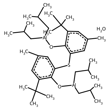 Cc1cc(Sc2cc(C)cc(C(C)(C)C)c2[O][Al]([CH2]C(C)C)[CH2]C(C)C)c([O][Al]([CH2]C(C)C)[CH2]C(C)C)c(C(C)(C)C)c1.O